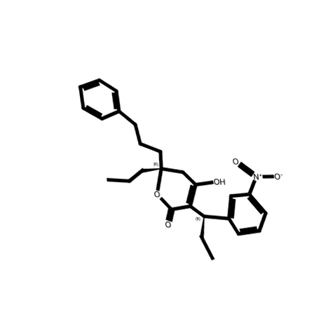 CCC[C@@]1(CCCc2ccccc2)CC(O)=C([C@H](CC)c2cccc([N+](=O)[O-])c2)C(=O)O1